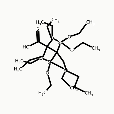 CCCCCC(C(CCC)(CCC)C(O)=S)([Si](OCC)(OCC)OCC)[Si](OCC)(OCC)OCC